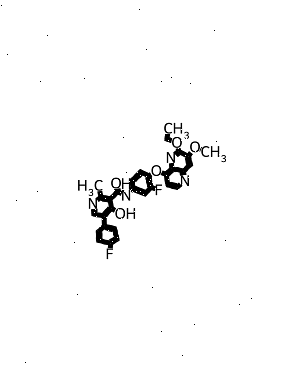 CCOc1nc2c(Oc3ccc(NC(=O)c4c(C)ncc(-c5ccc(F)cc5)c4O)cc3F)ccnc2cc1OC